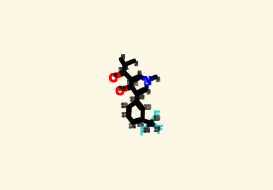 CC(C)C(=O)c1cn(C)cc(-c2cccc(C(F)(F)F)c2)c1=O